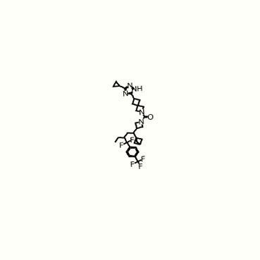 CCC(CC(C1CN(C(=O)N2CC3(CC(c4nc(C5CC5)n[nH]4)C3)C2)C1)C12CC(C1)C2)C(F)(F)c1ccc(C(F)(F)F)cc1